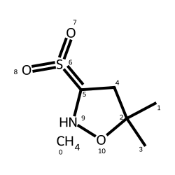 C.CC1(C)CC(=S(=O)=O)NO1